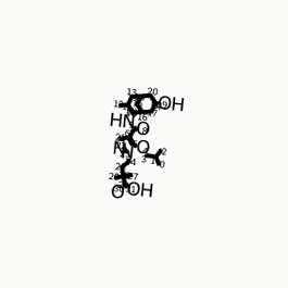 CC(C)COc1c(C(=O)N[C@@H]2C(C)CC3CC2C[C@@H](O)C3)cnn1CCC(C)(C)C(=O)O